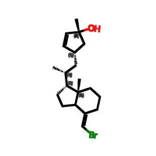 C[C@H](C[C@@H]1C=C[C@](C)(O)C1)[C@H]1CCC2C(=CBr)CCC[C@]21C